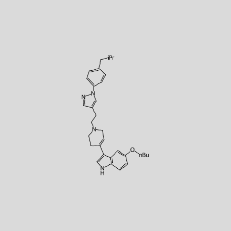 CCCCOc1ccc2[nH]cc(C3=CCN(CCc4cnn(-c5ccc(CC(C)C)cc5)c4)CC3)c2c1